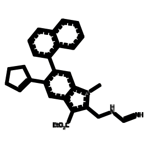 CCOC(=O)c1c(CNC=N)n(C)c2cc(-c3cccc4ccccc34)c(C3=CCCC3)cc12